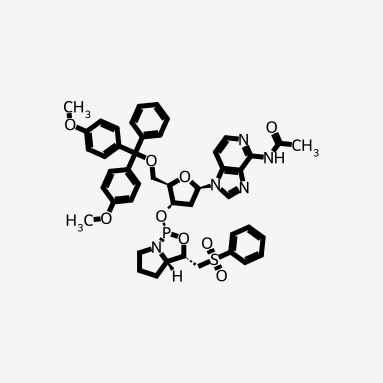 COc1ccc(C(OC[C@H]2O[C@@H](n3cnc4c(NC(C)=O)nccc43)C[C@@H]2O[P@]2O[C@H](CS(=O)(=O)c3ccccc3)[C@@H]3CCCN32)(c2ccccc2)c2ccc(OC)cc2)cc1